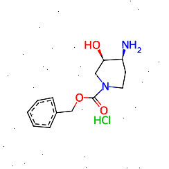 Cl.N[C@H]1CCN(C(=O)OCc2ccccc2)C[C@H]1O